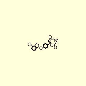 CN1CC(=O)OB(c2ccc(OC3CCc4c(Cl)cccc43)cc2)OC(=O)C1